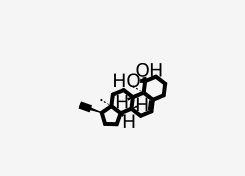 C#C[C@@H]1CC[C@H]2[C@@H]3CC=C4CCCC(O)(O)[C@]4(C)[C@H]3CC[C@]12C